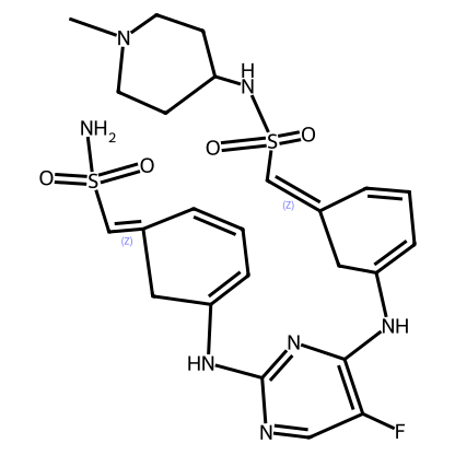 CN1CCC(NS(=O)(=O)/C=C2\C=CC=C(Nc3nc(NC4=CC=C/C(=C\S(N)(=O)=O)C4)ncc3F)C2)CC1